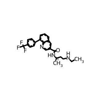 CCNCC[C@@H](C)NC(=O)c1cnc2c(-c3ccc(C(F)(F)F)cc3)cccc2c1